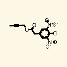 O=C(Cc1cc([N+](=O)[O-])c(Cl)c([N+](=O)[O-])c1)OCC#CI